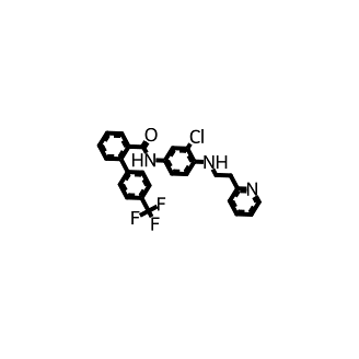 O=C(Nc1ccc(NCCc2ccccn2)c(Cl)c1)c1ccccc1-c1ccc(C(F)(F)F)cc1